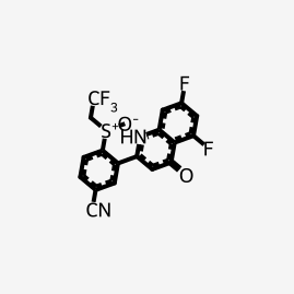 N#Cc1ccc([S+]([O-])CC(F)(F)F)c(-c2cc(=O)c3c(F)cc(F)cc3[nH]2)c1